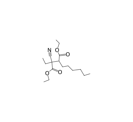 CCCCCCC(C(=O)OCC)C(C#N)(CC)C(=O)OCC